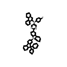 Fc1ccc(N(c2cnc(-c3ccc4c(c3)c3ccccc3n4-c3ccc4c(c3)C(c3ccccc3)(c3ccccc3)c3ccccc3-4)nc2)c2cc3ccccc3c3ccccc23)cc1